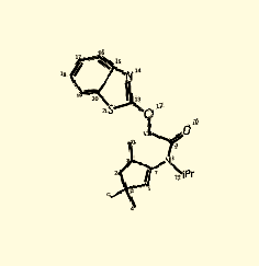 CC1CC(C)(C)C=C1N(C(=O)COc1nc2ccccc2s1)C(C)C